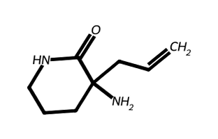 C=CCC1(N)CCCNC1=O